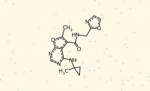 Cc1oc2ncnc(NC3(C)CC3)c2c1C(=O)NCc1ncco1